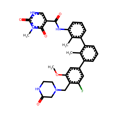 COc1cc(-c2cccc(-c3cccc(NC(=O)c4c[nH]c(=O)n(C)c4=O)c3C)c2C)cc(F)c1CN1CCNC(=O)C1